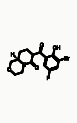 O=C(c1cc(F)cc(Br)c1O)C1CC[C@@H]2COCCN2C1=O